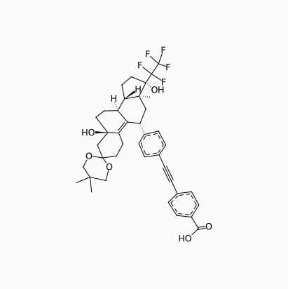 CC1(C)COC2(CCC3=C4[C@@H](CC[C@@]3(O)C2)[C@@H]2CC[C@@](O)(C(F)(F)C(F)(F)F)[C@@]2(C)C[C@@H]4c2ccc(C#Cc3ccc(C(=O)O)cc3)cc2)OC1